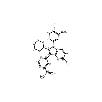 Cc1cc(-n2c(C3CCOCC3)c(-c3cccc(C(=O)O)c3)c3cc(F)ccc32)ccc1F